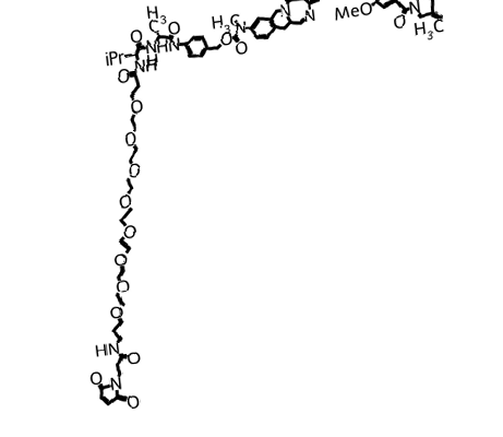 C/C=C1\CN2C(=O)c3cc(OC)c(OCCCOc4cc5c(cc4OC)C(=O)N4Cc6cc(N(C)C(=O)OCc7ccc(NC(=O)[C@H](C)NC(=O)[C@@H](NC(=O)CCOCCOCCOCCOCCOCCOCCOCCOCCCNC(=O)CCN8C(=O)C=CC8=O)C(C)C)cc7)ccc6CC4C=N5)cc3N=C[C@]2(C)C1